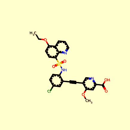 CCOc1ccc(S(=O)(=O)Nc2ccc(Cl)cc2C#Cc2cnc(C(=O)O)cc2OC)c2ncccc12